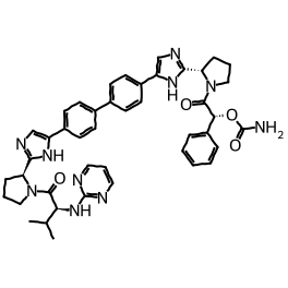 CC(C)[C@H](Nc1ncccn1)C(=O)N1CCC[C@H]1c1ncc(-c2ccc(-c3ccc(-c4cnc([C@@H]5CCCN5C(=O)[C@H](OC(N)=O)c5ccccc5)[nH]4)cc3)cc2)[nH]1